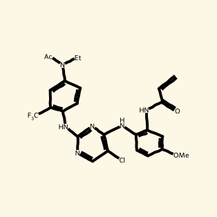 C=CC(=O)Nc1cc(OC)ccc1Nc1nc(Nc2ccc(N(CC)C(C)=O)cc2C(F)(F)F)ncc1Cl